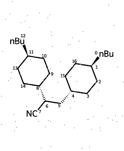 CCCC[C@H]1CC[C@H](CC(C#N)[C@H]2CC[C@H](CCCC)CC2)CC1